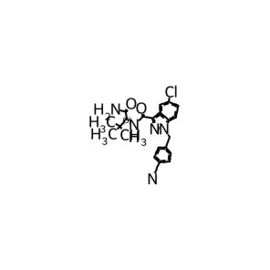 CC(C)(C)[C@H](NC(=O)c1nn(Cc2ccc(C#N)cc2)c2ccc(Cl)cc12)C(N)=O